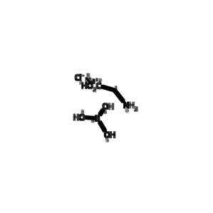 NCC(=O)O.OB(O)O.[Cl-].[Na+]